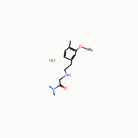 CCCCOc1cc(CCNCC(=O)N(C)C)ccc1C.Cl